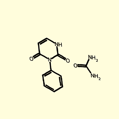 NC(N)=O.O=c1cc[nH]c(=O)n1-c1ccccc1